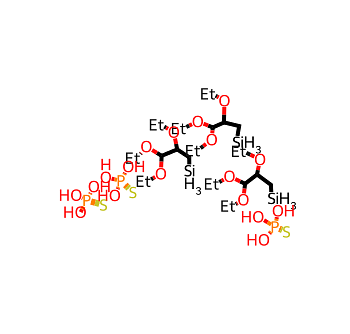 CCOC(C[SiH3])C(OCC)OCC.CCOC(C[SiH3])C(OCC)OCC.CCOC(C[SiH3])C(OCC)OCC.OP(O)(O)=S.OP(O)(O)=S.OP(O)(O)=S